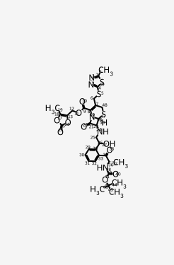 Cc1nnc(SCC2=C(C(=O)OCc3oc(=O)oc3C)N3C(=O)C(NCC(O)c4ccccc4C(=O)[C@H](C)NC(=O)OC(C)(C)C)[C@@H]3SC2)s1